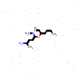 C=C/C(=C\C=C/C)O/C(=C/C=C(\C)N)N=C